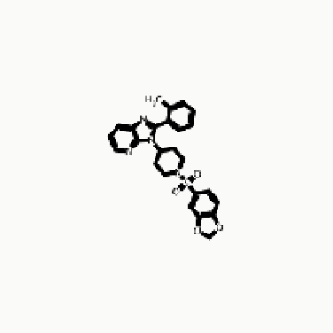 Cc1ccccc1-c1nc2cccnc2n1C1CCN(S(=O)(=O)c2ccc3c(c2)OCO3)CC1